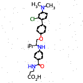 CC(C)C(COc1ccc(-c2ccc(N(C)C)cc2Cl)cc1)Nc1ccc(C(=O)NCCC(=O)O)cc1